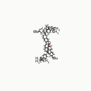 CC(C)(C)c1ccc(-c2ccccc2)c(N(c2ccc([Si](C)(C)C)cc2)c2ccc3cc4c(cc3c2)oc2cc3cc(N(c5ccc([Si](C)(C)C)cc5)c5cc(C(C)(C)C)ccc5-c5ccccc5)ccc3cc24)c1